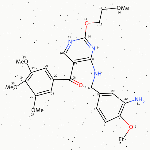 CCOc1ccc(CNc2nc(OCCOC)ncc2C(=O)c2cc(OC)c(OC)c(OC)c2)cc1N